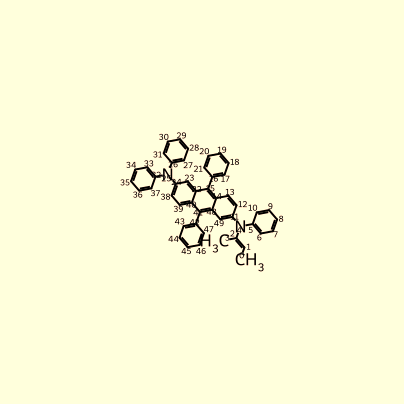 C/C=C(\C)N(c1ccccc1)c1ccc2c(-c3ccccc3)c3cc(N(c4ccccc4)c4ccccc4)ccc3c(-c3ccccc3)c2c1